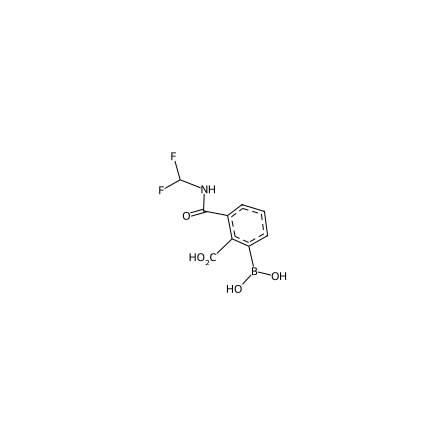 O=C(NC(F)F)c1cccc(B(O)O)c1C(=O)O